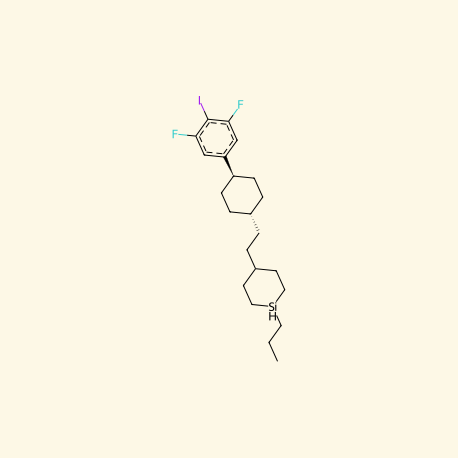 CCC[SiH]1CCC(CC[C@H]2CC[C@H](c3cc(F)c(I)c(F)c3)CC2)CC1